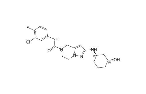 O=C(Nc1ccc(F)c(Cl)c1)N1CCn2nc(N[C@@H]3CCC[C@H](O)C3)cc2C1